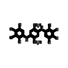 CCOC(=O)C1=C(Nc2cc(Cl)c(Cl)c(Cl)c2Cl)CC(C(=O)O)=C(Nc2cc(Cl)c(Cl)c(Cl)c2Cl)C1